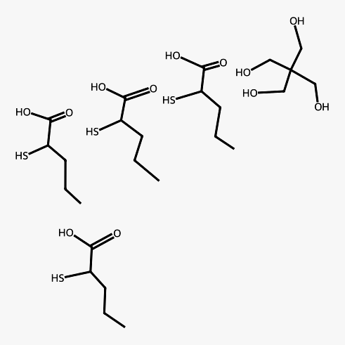 CCCC(S)C(=O)O.CCCC(S)C(=O)O.CCCC(S)C(=O)O.CCCC(S)C(=O)O.OCC(CO)(CO)CO